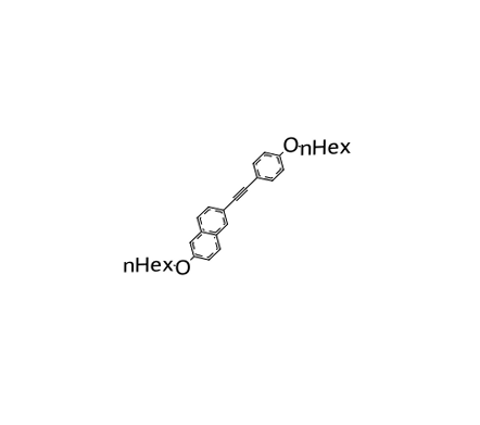 CCCCCCOc1ccc(C#Cc2ccc3cc(OCCCCCC)ccc3c2)cc1